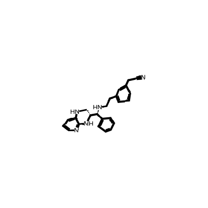 N#CCc1cccc(CCN[C@H](c2ccccc2)[C@H]2CNc3cccnc3N2)c1